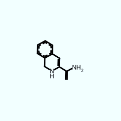 C=C(N)C1=Cc2ccccc2CN1